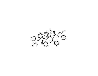 CC(NC(=O)OCc1ccccc1[N+](=O)[O-])C1C(=O)N(CP(C(=O)OCc2ccccc2[N+](=O)[O-])(c2ccccc2)(c2ccccc2)c2ccccc2)C1CC(=S)c1ccccc1